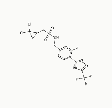 O=S(=O)(CC1CC1(Cl)Cl)NCc1ccc(-c2noc(C(F)(F)F)n2)c(F)c1